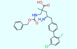 CC(CNC(=O)OCc1ccccc1)(C[C@H](N)Cc1ccc(-c2cc(Cl)ccc2F)cc1)C(=O)O